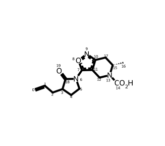 C=CCC1CCN(c2onc3c2CN(C(=O)O)[C@@H](C)C3)C1=O